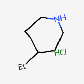 CCC1CCNCC1.Cl